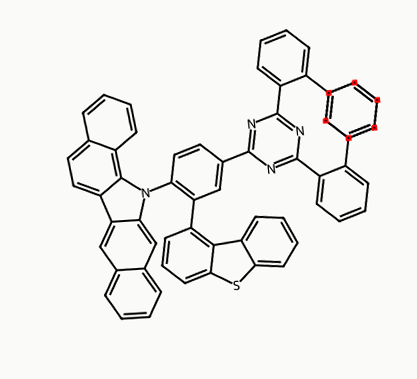 c1ccc(-c2ccccc2-c2nc(-c3ccc(-n4c5cc6ccccc6cc5c5ccc6ccccc6c54)c(-c4cccc5sc6ccccc6c45)c3)nc(-c3ccccc3-c3ccccc3)n2)cc1